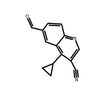 N#Cc1cnc2ccc(C=O)cc2c1C1CC1